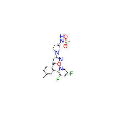 Cc1ccc([C@@H]2CC(N3CC[C@H](NS(C)(=O)=O)C3)=NO2)c(-c2ncc(F)cc2F)c1